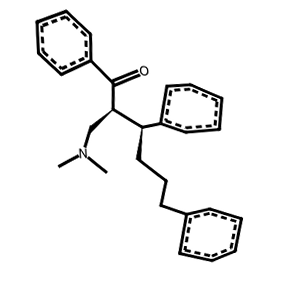 CN(C)C[C@@H](C(=O)c1ccccc1)[C@H](CCCc1ccccc1)c1ccccc1